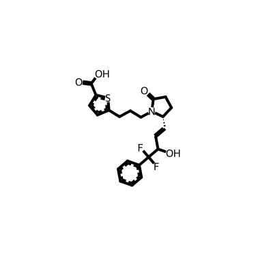 O=C(O)c1ccc(CCCN2C(=O)CC[C@@H]2C=CC(O)C(F)(F)c2ccccc2)s1